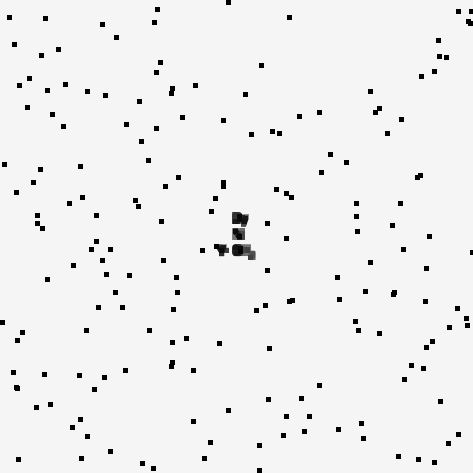 O.[Dy].[Ni].[Y]